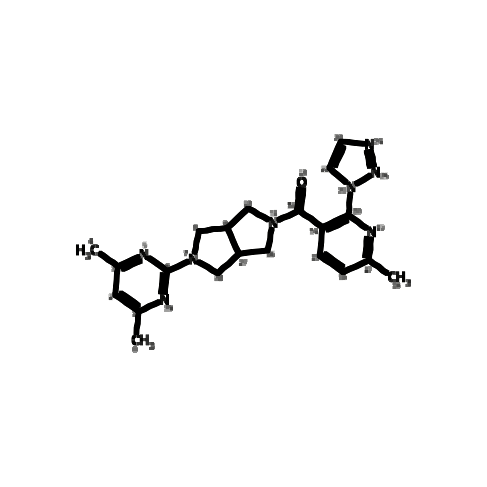 Cc1cc(C)nc(N2CC3CN(C(=O)c4ccc(C)nc4-n4ccnn4)CC3C2)n1